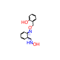 ON/C=C1\C=CC=C\C1=N/OCc1ccccc1O